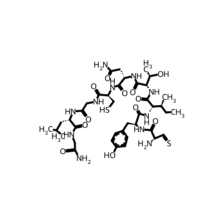 CC[C@H](C)[C@H](NC(=O)[C@H](Cc1ccc(O)cc1)NC(=O)[C@@H](N)C=S)C(=O)N[C@H](C(=O)N[C@@H](CC(N)=O)C(=O)N[C@@H](CS)C(=O)NCC(=O)N[C@@H](CC(C)C)C(=O)NCC(N)=O)[C@@H](C)O